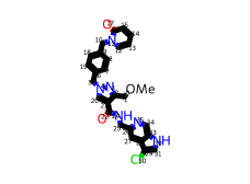 COCc1nn(Cc2ccc(Cn3ccccc3=O)cc2)cc1C(=O)NCc1cc2c(Cl)c[nH]c2cn1